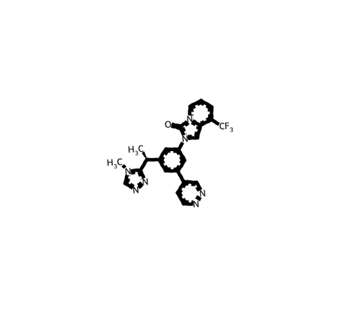 C[C@@H](c1cc(-c2ccnnc2)cc(-n2cc3c(C(F)(F)F)cccn3c2=O)c1)c1nncn1C